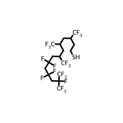 FC(F)(CC(CC(CC(CCS)C(F)(F)F)C(F)(F)F)C(F)(F)F)CC(F)(F)CC(F)(C(F)(F)F)C(F)(F)F